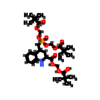 CC(C)(C)C(=O)OCOC(=O)C1CC(CP(=O)(OCOC(=O)C(C)(C)C)OCOC(=O)C(C)(C)C)c2ccccc2N1